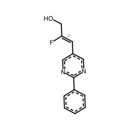 OC/C(F)=C/c1cnc(-c2ccccc2)nc1